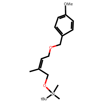 COc1ccc(COCC=C(C)CO[Si](C)(C)C(C)(C)C)cc1